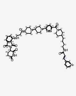 O=C(/C=C/c1cccnc1)NCCCCC1CCN(C(=O)c2ccc(N3CCC(N4CCN(C(=O)CCNc5cccc6c5C(=O)N(C5CCC(=O)NC5=O)C6=O)CC4)CC3)nn2)CC1